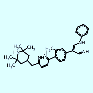 Cc1cc(/C(C=N)=C/Nc2ccccc2)ccc1C(=N)/C=C\C(=N)CC1CC(C)(C)NC(C)(C)C1